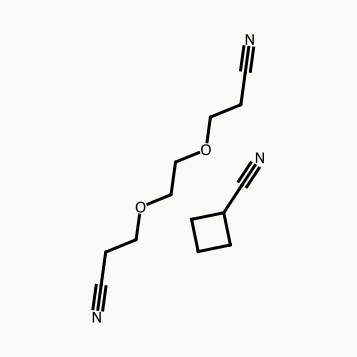 N#CC1CCC1.N#CCCOCCOCCC#N